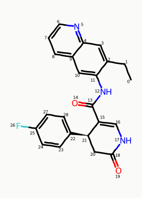 CCc1cc2ncccc2cc1NC(=O)C1=CNC(=O)C[C@H]1c1ccc(F)cc1